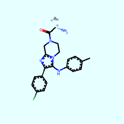 CC[C@H](C)[C@H](N)C(=O)N1CCn2c(nc(-c3ccc(F)cc3)c2Nc2ccc(C)cc2)C1